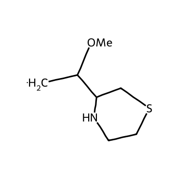 [CH2]C(OC)C1CSCCN1